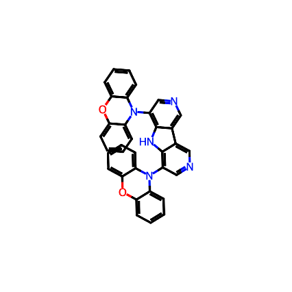 c1ccc2c(c1)Oc1ccccc1N2c1cncc2c1[nH]c1c(N3c4ccccc4Oc4ccccc43)cncc12